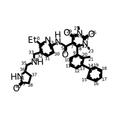 CCc1nc(NC(=O)c2c(-c3cccc(-c4ccccc4)c3C)n(C)c(=O)n(C)c2=O)ccc1CNCC1CCC(=O)N1